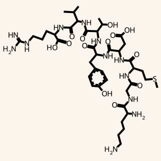 CSCCC(NC(=O)CNC(=O)C(N)CCCCN)C(=O)NC(CC(=O)O)C(=O)NC(Cc1ccc(O)cc1)C(=O)NC(C(=O)NC(C(=O)NC(CCCNC(=N)N)C(=O)O)C(C)C)C(C)O